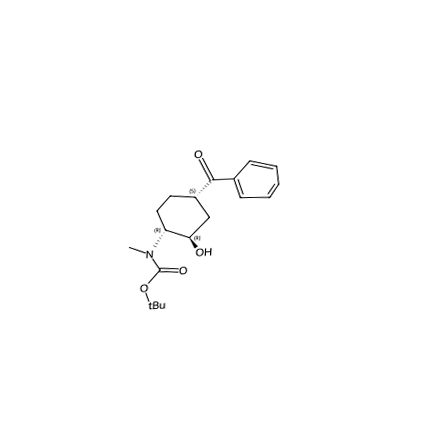 CN(C(=O)OC(C)(C)C)[C@@H]1CC[C@H](C(=O)c2ccccc2)C[C@H]1O